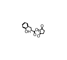 O=C(CCc1ccccc1O)ON1C(=O)CCC1=O